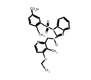 Cc1ccc(C(=O)O)cc1S(=O)(=O)n1c([S+]([O-])Cc2nccc(OCC(F)(F)F)c2C)nc2ccccc21